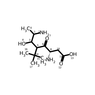 CC(N)C(O)C(C(=O)[C@@H](N)CC(=O)O)C(C)(C)C